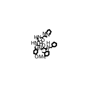 COc1ccc(C[C@H](NC(=O)[C@H](C)NC(=O)c2cn3ccccc3n2)C(=O)N[C@@H](Cc2ccccc2)C(=O)C(=O)NCc2ccccc2)cc1